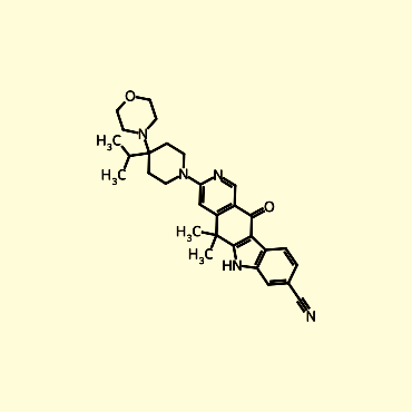 CC(C)C1(N2CCOCC2)CCN(c2cc3c(cn2)C(=O)c2c([nH]c4cc(C#N)ccc24)C3(C)C)CC1